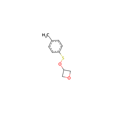 Cc1ccc(SOC2COC2)cc1